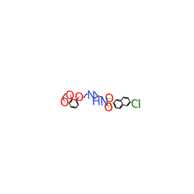 O=S(=O)(NCC1CN(CCOc2cccc3c2OCCO3)C1)c1ccc2cc(Cl)ccc2c1